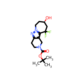 CC(C)(C)OC(=O)N1CCc2nn3c(c2C1)C(F)(F)C[C@H](O)CC3